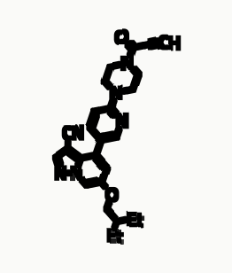 C#CC(=O)N1CCN(c2ccc(-c3cc(OCC(CC)CC)cn4ncc(C#N)c34)cn2)CC1